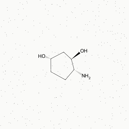 N[C@@H]1CC[C@H](O)C[C@H]1O